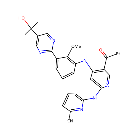 CCC(=O)c1cnc(Nc2cccc(C#N)n2)cc1Nc1cccc(-c2ncc(C(C)(C)O)cn2)c1OC